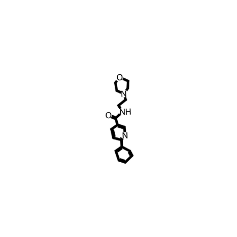 O=C(NCCN1CCOCC1)c1ccc(-c2ccccc2)nc1